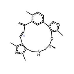 C=C1/C=C/c2c(C)nn(C)c2CNC[C@H](C)Oc2c(cnn2C)-c2ccc(C)c1c2